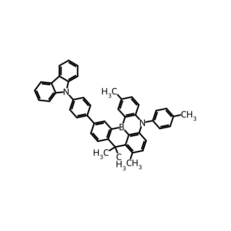 Cc1ccc(N2c3ccc(C)cc3B3c4cc(-c5ccc(-n6c7ccccc7c7ccccc76)cc5)ccc4C(C)(C)c4c(C)ccc2c43)cc1